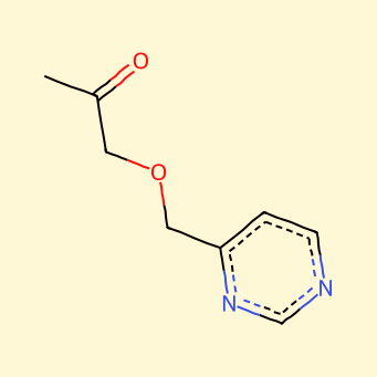 CC(=O)COCc1ccncn1